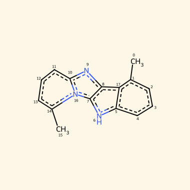 Cc1cccc2[nH]c3c(nc4cccc(C)n43)c12